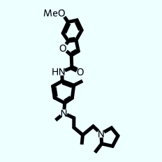 COc1ccc2cc(C(=O)Nc3ccc(N(C)CCC(C)CN4CCCC4C)cc3C)oc2c1